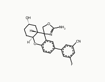 N#Cc1cc(F)cc(-c2ccc3c(c2)C2(COC(N)=N2)[C@H]2C[C@@H](O)CC[C@@H]2O3)c1